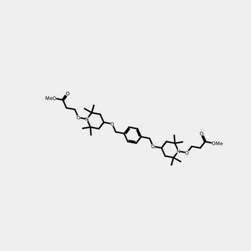 COC(=O)CCON1C(C)(C)CC(OCc2ccc(COC3CC(C)(C)N(OCCC(=O)OC)C(C)(C)C3)cc2)CC1(C)C